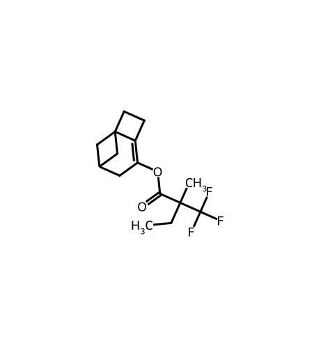 CCC(C)(C(=O)OC1=C2CCC23CC(C1)C3)C(F)(F)F